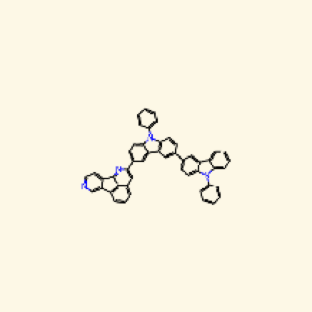 c1ccc(-n2c3ccccc3c3cc(-c4ccc5c(c4)c4cc(-c6cc7cccc8c7c(n6)-c6ccncc6-8)ccc4n5-c4ccccc4)ccc32)cc1